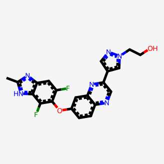 Cc1nc2cc(F)c(Oc3ccc4ncc(-c5cnn(CCO)c5)nc4c3)c(F)c2[nH]1